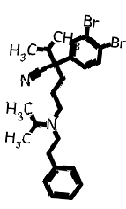 CC(C)N(CCCC(C#N)(c1ccc(Br)c(Br)c1)C(C)C)CCc1ccccc1